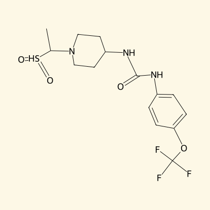 CC(N1CCC(NC(=O)Nc2ccc(OC(F)(F)F)cc2)CC1)[SH](=O)=O